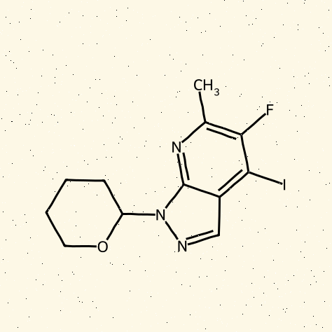 Cc1nc2c(cnn2C2CCCCO2)c(I)c1F